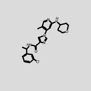 Cc1cnc(NC2CCOCC2)cc1-n1cnc(C(=O)NC(C)c2cccc(Cl)c2)c1